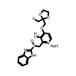 Cc1c(OCC2(CF)OCCO2)ccnc1C[S+]([O-])c1nc2ccccc2[nH]1.[NaH]